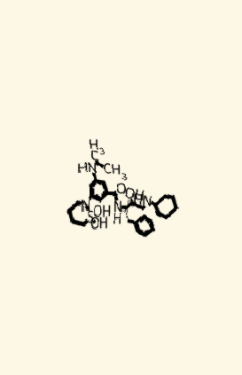 CC(C)Nc1cc(C(=O)N[C@@H](Cc2ccccc2)[C@@H](O)CNC2CCCCC2)cc(N2CCCCS2(O)O)c1